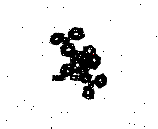 N#Cc1ccc(-n2c3ccc(N(c4ccccc4)c4ccccc4)cc3c3c4c(ccc32)C=CCC4)c(-n2c3ccc(N(c4ccccc4)c4ccccc4)cc3c3c4ccccc4ccc32)c1C#N